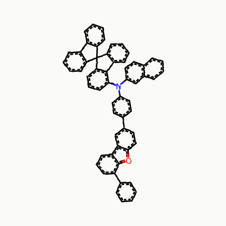 c1ccc(-c2cccc3c2oc2ccc(-c4ccc(N(c5ccc6ccccc6c5)c5cccc6c5-c5ccccc5C65c6ccccc6-c6ccccc65)cc4)cc23)cc1